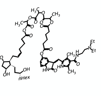 CCCCCC[C@@H](O)CC[C@H]1[C@H](C/C=C\CCCC(=O)OC(=O)C(C)OC(=O)C(C)OC(=O)C(C)OC(=O)CCCCC(=O)Oc2ccc3c(c2)/C(=C/c2[nH]c(C)c(C(=O)NCCN(CC)CC)c2C)C(=O)N3)[C@H](OC(C)=O)C[C@@H]1O